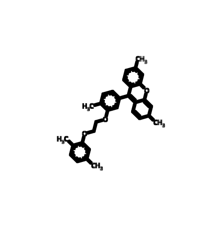 Cc1ccc(C)c(OCCOc2cc(C3=C4C=CC(C)C=C4Oc4cc(C)ccc43)ccc2C)c1